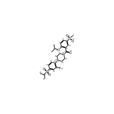 CC(C)Oc1ccc(S(C)(=O)=O)cc1C(=O)N1CCN(c2ccc(S(=O)(=O)C(C)C)cc2F)CC1